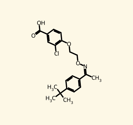 CC(=NOCCOc1ccc(C(=O)O)cc1Cl)c1ccc(C(C)(C)C)cc1